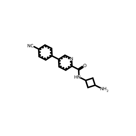 N#Cc1ccc(-c2ccc(C(=O)NC3CC(N)C3)nc2)cc1